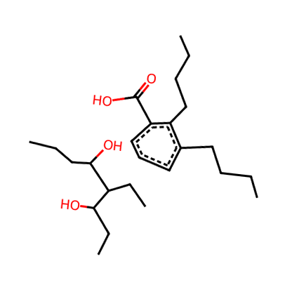 CCCC(O)C(CC)C(O)CC.CCCCc1cccc(C(=O)O)c1CCCC